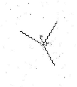 CCCCCCCCCCCCCCOC(O[SiH3])(OCCCCCCCCCCCC)C(CCCS)CCCCCCCCCCCCCC